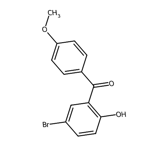 COc1ccc(C(=O)c2cc(Br)ccc2O)cc1